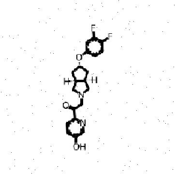 O=C(CN1C[C@H]2C[C@H](Oc3ccc(F)c(F)c3)C[C@H]2C1)c1ccc(O)cn1